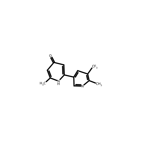 Cc1cc(=O)cc(-c2cnc(C)c(C(F)(F)F)c2)[nH]1